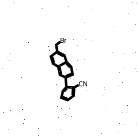 N#Cc1ccccc1-c1ccc2cc(CBr)ccc2c1